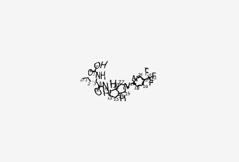 CCC[C@H](NC(=O)O)C(=O)N[C@H]1CC[C@@H]2CN(c3ccc(C(F)(F)F)cn3)C[C@@H]21